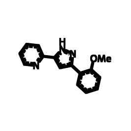 COc1ccccc1-c1cc(-c2ccccn2)[nH]n1